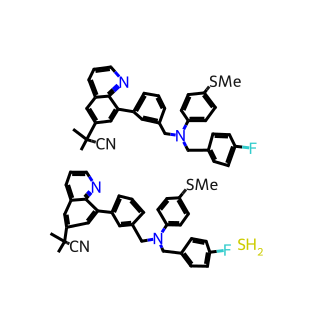 CSc1ccc(N(Cc2ccc(F)cc2)Cc2cccc(-c3cc(C(C)(C)C#N)cc4cccnc34)c2)cc1.CSc1ccc(N(Cc2ccc(F)cc2)Cc2cccc(-c3cc(C(C)(C)C#N)cc4cccnc34)c2)cc1.S